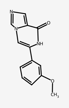 COc1cccc(-c2cn3cncc3c(=O)[nH]2)c1